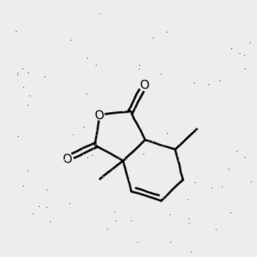 CC1CC=CC2(C)C(=O)OC(=O)C12